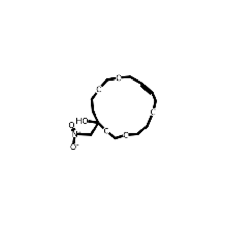 O=[N+]([O-])CC1(O)CCCCCCC=CCCCCCCC1